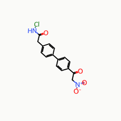 O=C(Cc1ccc(-c2ccc(C(=O)C[N+](=O)[O-])cc2)cc1)NCl